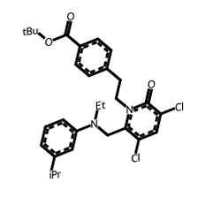 CCN(Cc1c(Cl)cc(Cl)c(=O)n1CCc1ccc(C(=O)OC(C)(C)C)cc1)c1cccc(C(C)C)c1